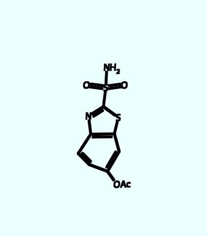 CC(=O)Oc1ccc2nc(S(N)(=O)=O)sc2c1